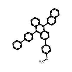 COc1ccc(-c2ccc3c(-c4ccc5ccccc5c4)c4ccccc4c(-c4ccc(-c5ccccc5)cc4)c3c2)cc1